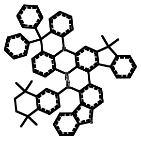 CC1(C)CCC(C)(C)c2cc(Nc3c(-c4c5c(cc6c4-c4ccccc4C6(C)C)N4c6ccccc6C(c6ccccc6)(c6ccccc6)c6cccc(c64)B5)ccc4sc5ccccc5c34)ccc21